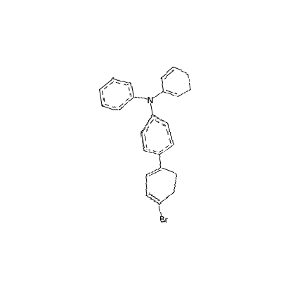 BrC1=CC=C(c2ccc(N(C3=CCCC=C3)c3ccccc3)cc2)CC1